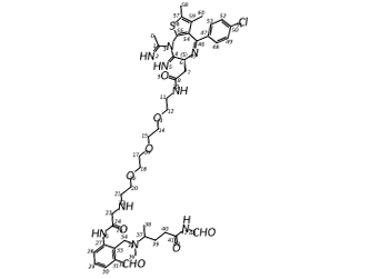 CC(=N)N1C(=N)[C@H](CC(=O)NCCOCCOCCOCCNCC(=O)Nc2cccc(C=O)c2CN(C)C(C)CCC(=O)NC=O)N=C(c2ccc(Cl)cc2)c2c1sc(C)c2C